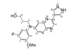 COc1cc(F)cc(N(CCCO)c2ccc3ncc(-c4cn[nH]c4)nc3c2)c1